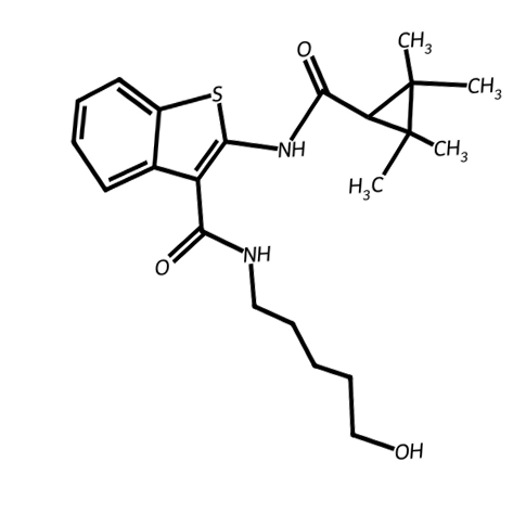 CC1(C)C(C(=O)Nc2sc3ccccc3c2C(=O)NCCCCCO)C1(C)C